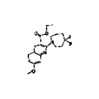 CCOC(=O)c1cc2ccc(OC)cc2nc1N1CCCC(F)(F)CC1